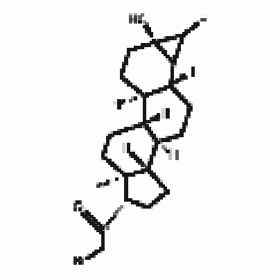 C[C@]12CC[C@@H]3[C@H]4CC[C@]5(O)C(F)C5[C@@H]4CC[C@H]3[C@@H]1CC[C@@H]2C(=O)CBr